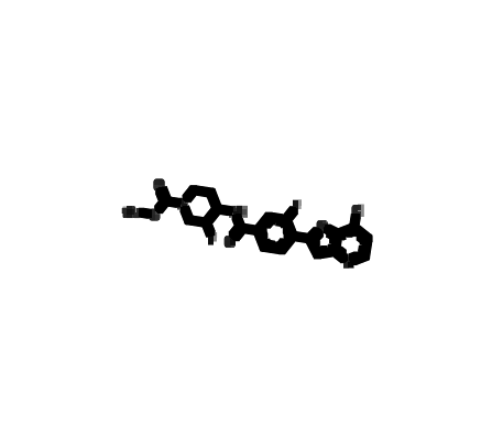 CC(C)(C)OC(=O)N1CCC(NC(=O)c2ccc(-c3cc4nccc(Cl)c4o3)c(F)c2)C(F)C1